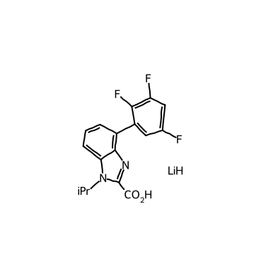 CC(C)n1c(C(=O)O)nc2c(-c3cc(F)cc(F)c3F)cccc21.[LiH]